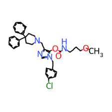 COCCCNC(=O)Oc1c(CN2CCC(c3ccccc3)(c3ccccc3)CC2)ncn1Cc1ccc(Cl)cc1